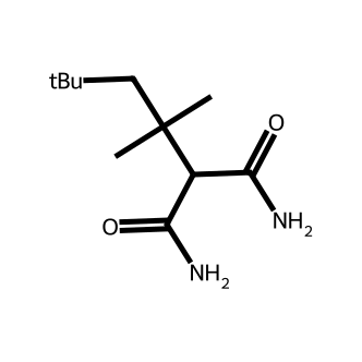 CC(C)(C)CC(C)(C)C(C(N)=O)C(N)=O